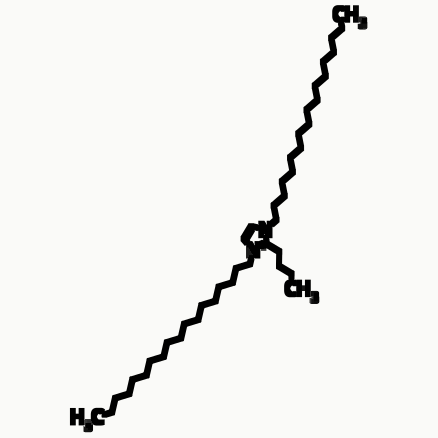 CCCCCCCCCCCCCCCCCCn1cc[n+](CCCCCCCCCCCCCCCCCC)c1CCCC